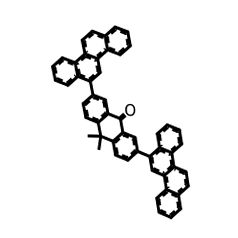 CC1(C)c2ccc(-c3cc4c5ccccc5ccc4c4ccccc34)cc2C(=O)c2cc(-c3cc4c5ccccc5ccc4c4ccccc34)ccc21